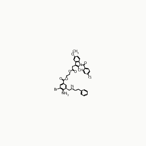 COc1ccc2c(c1)c(CC(=O)OCCOC(=O)c1cc(Br)c(N)c(CNCCc3ccccc3)c1)c(C)n2C(=O)c1ccc(Cl)cc1